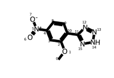 COc1cc([N+](=O)[O-])ccc1-c1nn[nH]n1